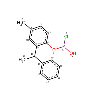 Cc1ccc(OP(O)Cl)c(C(C)c2ccccc2)c1